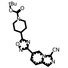 CC(C)(C)OC(=O)N1CCC(c2nc(-c3ccc4cnc(C#N)n4c3)no2)CC1